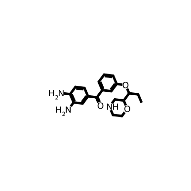 CCC(Oc1cccc(C(=O)c2ccc(N)c(N)c2)c1)C1CNCCO1